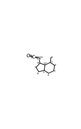 CC1CCCC2CCC(N=C=O)C12